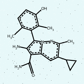 Cc1ccc(O)c(C)c1-c1c(N)c(C(N)=O)c2cc(C3CC3)c(C)nn12